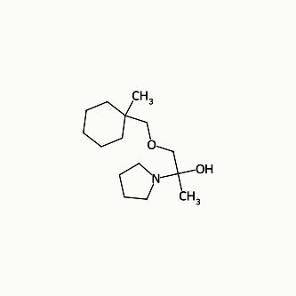 CC1(COCC(C)(O)N2CCCC2)CCCCC1